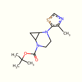 Cc1ncsc1N1CCN(C(=O)OC(C)(C)C)C2CC21